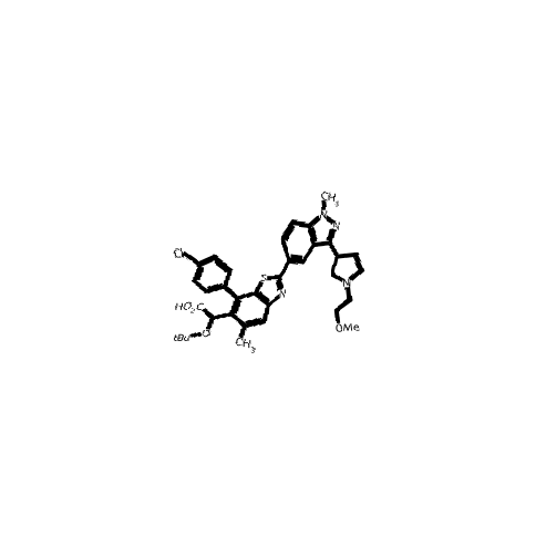 COCCN1CCC(c2nn(C)c3ccc(-c4nc5cc(C)c(C(OC(C)(C)C)C(=O)O)c(-c6ccc(Cl)cc6)c5s4)cc23)C1